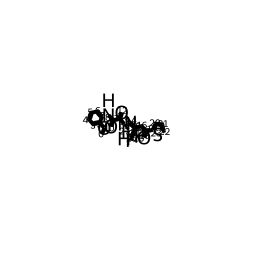 COc1ccccc1NC(=O)C(=O)N/N=C(/CC(=O)c1cccs1)C(F)(F)F